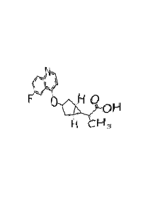 CC(C(=O)O)C1[C@H]2CC(Oc3ccnc4ccc(F)cc34)C[C@@H]12